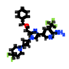 Nc1ncc(-c2cn(C34CC(N5CCC(F)(F)CC5)(C3)C4)c(COCc3ccccc3)n2)cc1C(F)(F)F